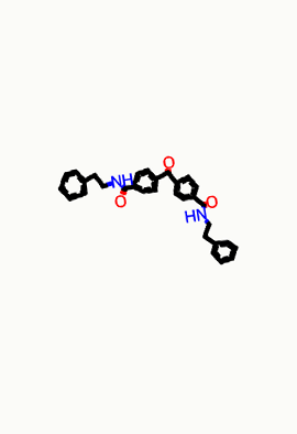 O=C(NCCc1ccccc1)c1ccc(C(=O)c2ccc(C(=O)NCCc3ccccc3)cc2)cc1